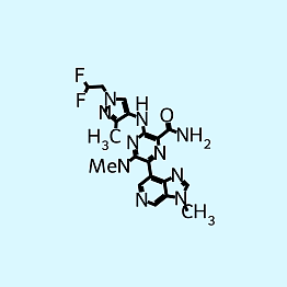 CNc1nc(Nc2cn(CC(F)F)nc2C)c(C(N)=O)nc1-c1cncc2c1ncn2C